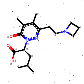 Cc1c(CCN2CCC2)nn([C@@H](CC(C)C)C(=O)O)c(=O)c1C